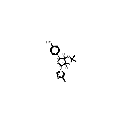 Cc1cn([C@@H]2O[C@@H](c3ccc(O)cc3)[C@@H]3OC(C)(C)O[C@@H]32)cn1